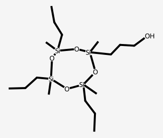 CCC[Si]1(C)O[Si](C)(CCC)O[Si](C)(CCCO)O[Si](C)(CCC)O1